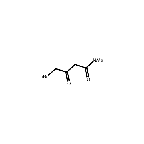 CCCCCC(=O)CC(=O)NC